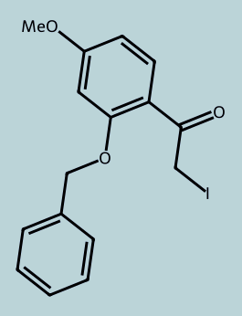 COc1ccc(C(=O)CI)c(OCc2ccccc2)c1